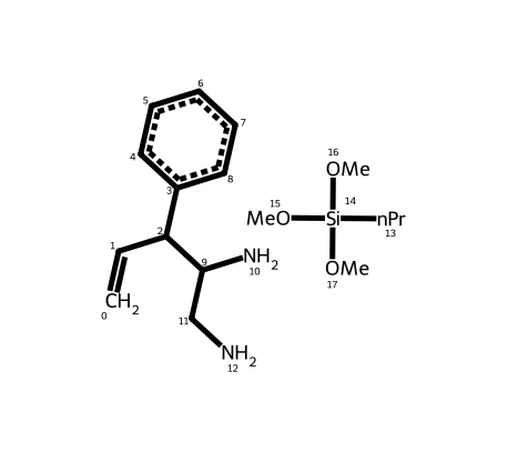 C=CC(c1ccccc1)C(N)CN.CCC[Si](OC)(OC)OC